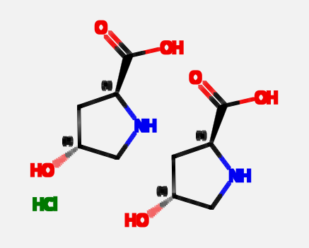 Cl.O=C(O)[C@@H]1C[C@@H](O)CN1.O=C(O)[C@@H]1C[C@@H](O)CN1